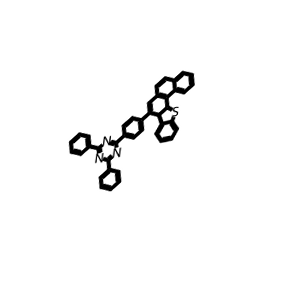 C1=C(c2ccc(-c3nc(-c4ccccc4)nc(-c4ccccc4)n3)cc2)C2c3ccccc3SC2c2c1ccc1ccccc21